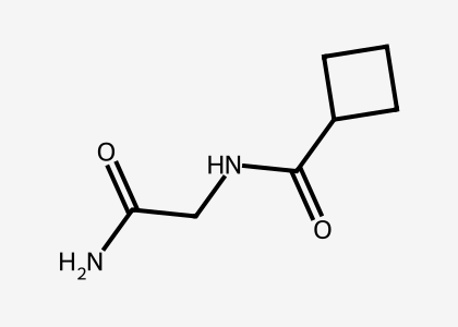 NC(=O)CNC(=O)C1CCC1